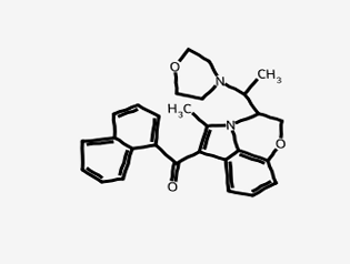 Cc1c(C(=O)c2cccc3ccccc23)c2cccc3c2n1C(C(C)N1CCOCC1)CO3